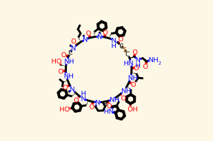 CCCC[C@H]1C(=O)N(C)CC(=O)N[C@@H](CO)C(=O)N[C@@H](C(C)C)C(=O)N(C)[C@@H](Cc2ccccc2)C(=O)N[C@@H](Cc2ccc(O)cc2)C(=O)N2CCCC[C@@H]2C(=O)N[C@@H](Cc2c[nH]c3ccccc23)C(=O)N[C@@H](Cc2ccc(O)cc2)C(=O)N[C@@H](CC(C)C)C(=O)N[C@H](C(=O)NCC(N)=O)CSCC(=O)N[C@@H](Cc2ccccc2)C(=O)N(C)[C@@H](Cc2ccccc2)C(=O)N1C